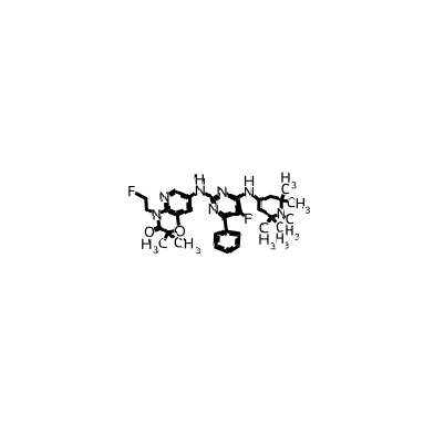 CN1C(C)(C)CC(Nc2nc(Nc3cnc4c(c3)OC(C)(C)C(=O)N4CCF)nc(-c3ccccc3)c2F)CC1(C)C